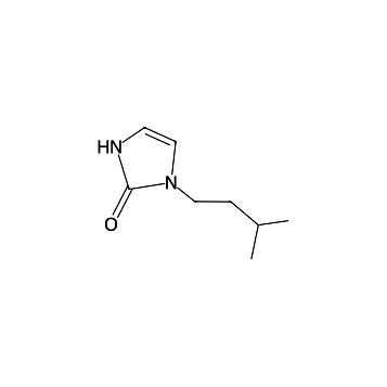 CC(C)CCn1cc[nH]c1=O